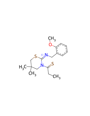 CCC(=S)N1CC(C)(C)CS/C1=N/Cc1ccccc1OC